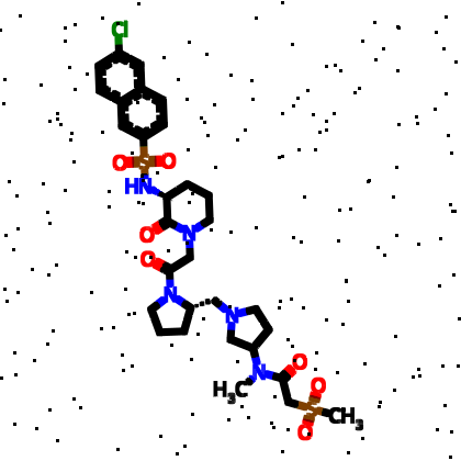 CN(C(=O)CS(C)(=O)=O)C1CCN(C[C@@H]2CCCN2C(=O)CN2CCC[C@H](NS(=O)(=O)c3ccc4cc(Cl)ccc4c3)C2=O)C1